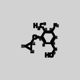 Cc1c(F)cc(CO)cc1OC1CC1